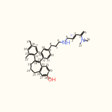 C=C(/C=C/CNCCCc1ccc(C2=C(c3ccc(C)cc3C)CCCc3cc(O)ccc32)cc1)N(C)C